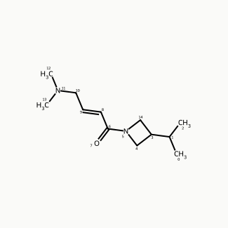 CC(C)C1CN(C(=O)/C=C/CN(C)C)C1